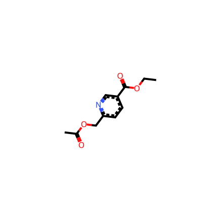 CCOC(=O)c1ccc(COC(C)=O)nc1